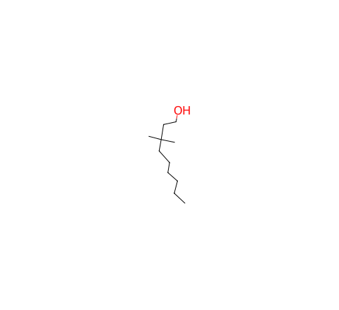 CCCCCCC(C)(C)CCO